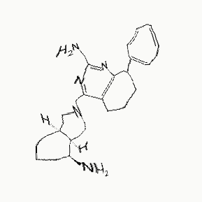 Nc1nc2c(c(N3C[C@@H]4CCC[C@H](N)[C@@H]4C3)n1)CCCC2c1ccccc1